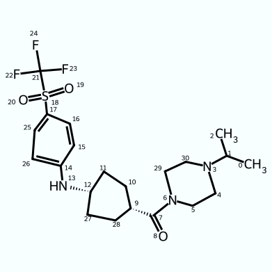 CC(C)N1CCN(C(=O)[C@H]2CC[C@@H](Nc3ccc(S(=O)(=O)C(F)(F)F)cc3)CC2)CC1